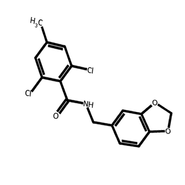 Cc1cc(Cl)c(C(=O)NCc2ccc3c(c2)OCO3)c(Cl)c1